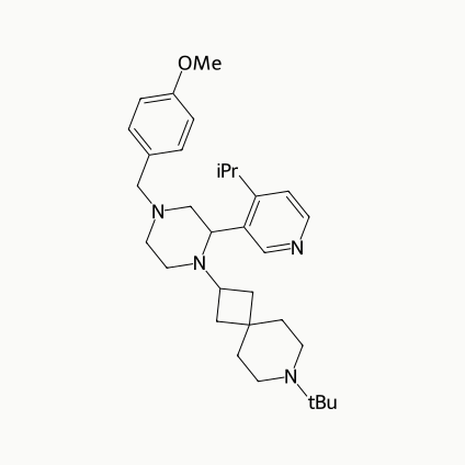 COc1ccc(CN2CCN(C3CC4(CCN(C(C)(C)C)CC4)C3)C(c3cnccc3C(C)C)C2)cc1